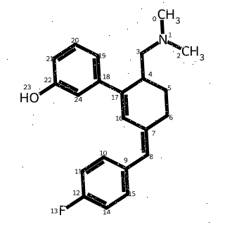 CN(C)CC1CCC(=Cc2ccc(F)cc2)C=C1c1cccc(O)c1